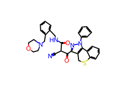 N#CC(C(=O)NCc1ccccc1CN1CCOCC1)C(=O)c1nn(-c2ccccc2)c2c1CSc1ccccc1-2